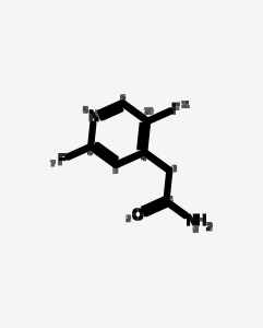 NC(=O)Cc1cc(F)ncc1F